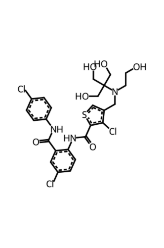 O=C(Nc1ccc(Cl)cc1)c1cc(Cl)ccc1NC(=O)c1scc(CN(CCO)C(CO)(CO)CO)c1Cl